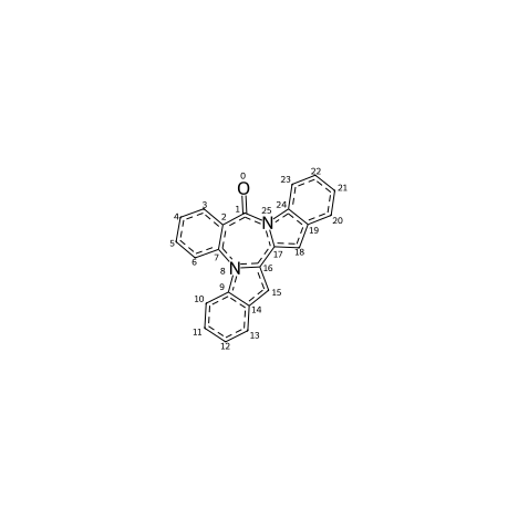 O=c1c2ccccc2n2c3ccccc3cc2c2cc3ccccc3n12